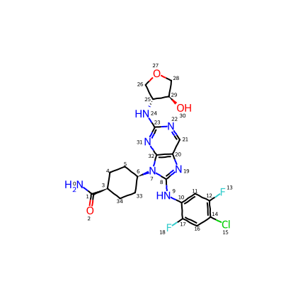 NC(=O)[C@H]1CC[C@@H](n2c(Nc3cc(F)c(Cl)cc3F)nc3cnc(N[C@@H]4COC[C@H]4O)nc32)CC1